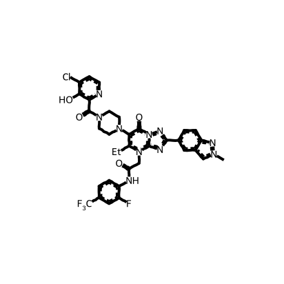 CCc1c(N2CCN(C(=O)c3nccc(Cl)c3O)CC2)c(=O)n2nc(-c3ccc4nn(C)cc4c3)nc2n1CC(=O)Nc1ccc(C(F)(F)F)cc1F